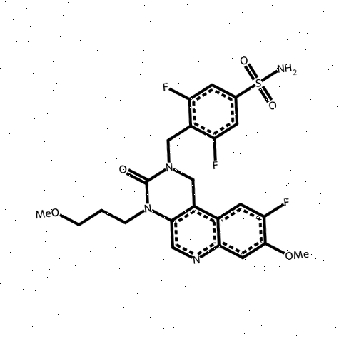 COCCCN1C(=O)N(Cc2c(F)cc(S(N)(=O)=O)cc2F)Cc2c1cnc1cc(OC)c(F)cc21